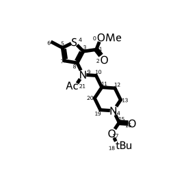 COC(=O)c1sc(C)cc1N(CC1CCN(C(=O)OC(C)(C)C)CC1)C(C)=O